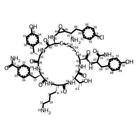 C[C@@H](O)[C@@H]1NC(=O)[C@H](CCCCN)NC(=O)[C@@H](Cc2ccc(C(N)=O)cc2)NC(=O)[C@H](Cc2ccc(O)cc2)NC(=O)[C@@H](NC2OC2[C@@H](N)Cc2ccc(Cl)cc2)CSSC[C@@H](C(=O)NC(Cc2ccc(O)cc2)C(N)=O)NC1=O